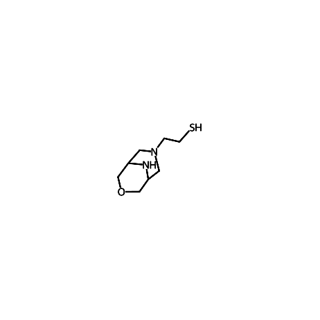 SCCN1CC2COCC(C1)N2